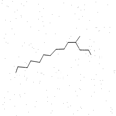 CC(CCCCCCCCCC(=O)O)CCC(=O)O.Cl.Cl